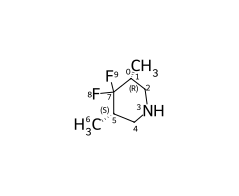 C[C@@H]1CNC[C@H](C)C1(F)F